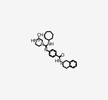 C[C@H]1CN(/C(=N/c2ccc(C(=O)N[C@@H]3CCc4ccccc4C3)cc2)NC2CCCCCC2)CCN1